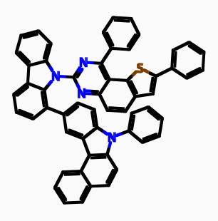 c1ccc(-c2cc3ccc4nc(-n5c6ccccc6c6cccc(-c7ccc8c(c7)c7c9ccccc9ccc7n8-c7ccccc7)c65)nc(-c5ccccc5)c4c3s2)cc1